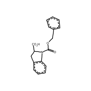 O=C(O)C1Cc2ccccc2N1C(=O)OCc1ccccc1